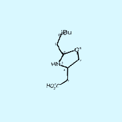 CCC(C)CC1NC(CC(=O)O)CO1